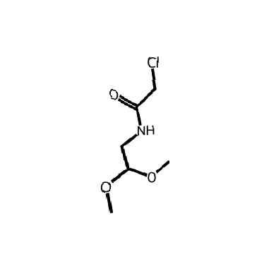 COC(CNC(=O)CCl)OC